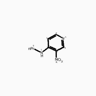 CCCNc1ccncc1[N+](=O)[O-]